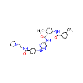 Cc1ccc(NC(=O)c2cccc(C(F)(F)F)c2)cc1C(=O)Nc1cnc(Nc2ccc(C(=O)NCCN3CCCC3)cc2)nc1